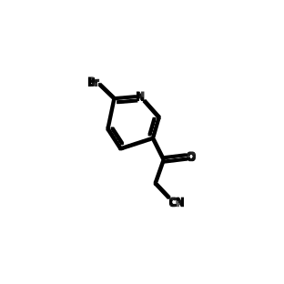 N#CCC(=O)c1ccc(Br)nc1